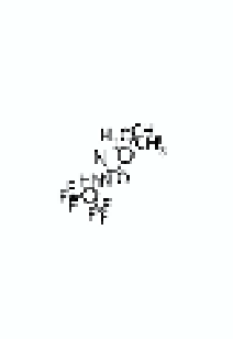 CC(C)(C)c1ccc(C(=O)/C(C#N)=N/Nc2cc(C(F)(F)F)cc(C(F)(F)F)c2)cc1